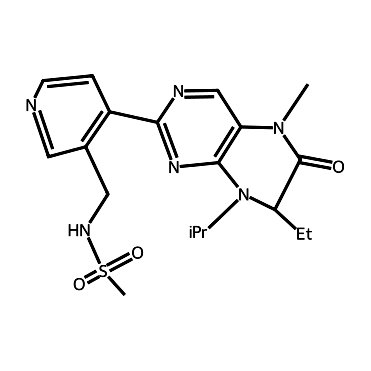 CCC1C(=O)N(C)c2cnc(-c3ccncc3CNS(C)(=O)=O)nc2N1C(C)C